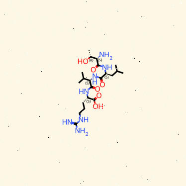 CC(C)C[C@H](NC(=O)[C@@H](N)[C@@H](C)O)C(=O)N[C@H](C(=O)N[C@@H](CCCNC(=N)N)C(=O)O)C(C)C